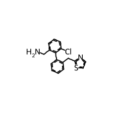 NCc1cccc(Cl)c1-c1ccccc1Cc1nccs1